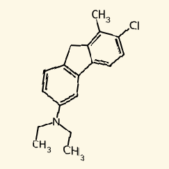 CCN(CC)c1ccc2c(c1)-c1ccc(Cl)c(C)c1C2